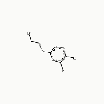 Fc1cc(OCCBr)cnc1Cl